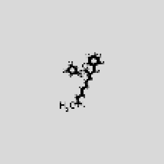 CC(I)CCCCCCC(Cc1ccccc1)C(=O)OC1CCCC1